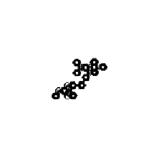 c1ccc(Oc2cc3c4c(c2)Oc2ccc(-c5cccc(-c6ccc(N7c8cc(N(c9ccccc9)c9ccccc9)ccc8B8c9ccccc9N(c9ccccc9)c9cccc7c98)cc6)c5)cc2B4c2ccccc2O3)cc1